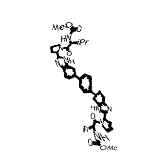 COC(=O)NC(C(=O)N1CCCC1c1nc2ccc(-c3ccc(-c4ccc5nc(C6CCCN6C(=O)C(NC(=O)OC)C(C)C)[nH]c5c4)cc3)cc2[nH]1)C(C)C